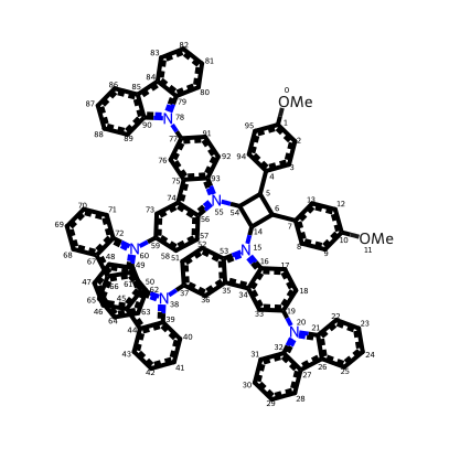 COc1ccc(C2C(c3ccc(OC)cc3)C(n3c4ccc(-n5c6ccccc6c6ccccc65)cc4c4cc(-n5c6ccccc6c6ccccc65)ccc43)C2n2c3ccc(-n4c5ccccc5c5ccccc54)cc3c3cc(-n4c5ccccc5c5ccccc54)ccc32)cc1